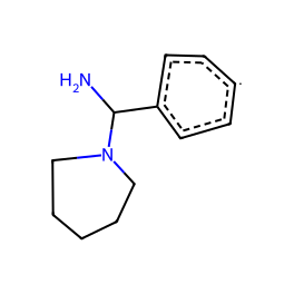 NC(c1cc[c]cc1)N1CCCCC1